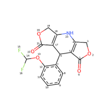 O=C1OCC2=C1C(c1ccccc1OC(F)F)C1=C(COC1=O)N2